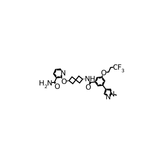 Cn1cc(-c2cc(OCCC(F)(F)F)cc(C(=O)N[C@H]3CC4(C3)C[C@H](Oc3ncccc3C(N)=O)C4)c2)cn1